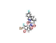 O=C1C2=C(C=C(F)C1Br)C1(CC2)CN(CC(=O)N(Cc2ccc(F)cc2)[C@@H](C2CC2)C(F)(F)F)C(=O)O1